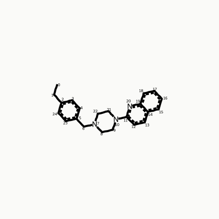 CCc1ccc(CN2CCN(c3ccc4ccccc4n3)CC2)cc1